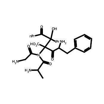 CCCC(=O)C(O)(C(C)C)C(C(=O)O)(C(=O)C(N)Cc1ccccc1)N(C(=O)CN)C(=O)C(C)N